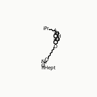 CCCCCCCOC[C@@H](COCCCCCCCCOC1CC[C@@]2(C)C(=CC[C@H]3[C@@H]4CC[C@H]([C@H](C)CCCC(C)C)[C@@]4(C)CC[C@@H]32)C1)N(C)C